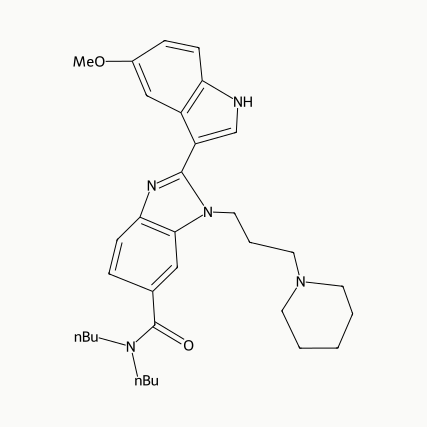 CCCCN(CCCC)C(=O)c1ccc2nc(-c3c[nH]c4ccc(OC)cc34)n(CCCN3CCCCC3)c2c1